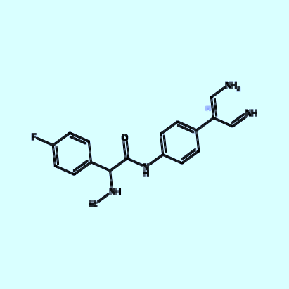 CCNC(C(=O)Nc1ccc(/C(C=N)=C/N)cc1)c1ccc(F)cc1